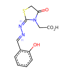 O=C(O)CN1C(=O)CS/C1=N/N=C/c1ccccc1O